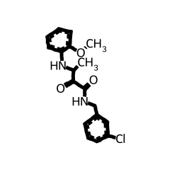 COc1ccccc1NC(C)C(=O)C(=O)NCc1cccc(Cl)c1